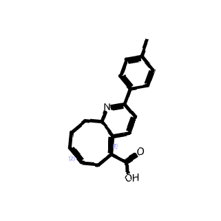 Cc1ccc(C2=NC3CC/C=C\C/C(C(=O)O)=C\3C=C2)cc1